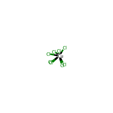 [Cl][Cu]([Cl])([Cl])([Cl])([Cl])([Cl])([Cl])[Cl]